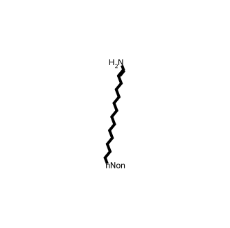 CCCCCCCCCCCCCCCCCCCCCC=CN